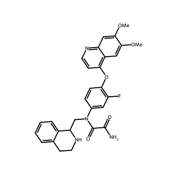 COc1cc2nccc(Oc3ccc(N(CC4NCCc5ccccc54)C(=O)C(N)=O)cc3F)c2cc1OC